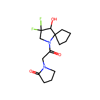 O=C1CCCN1CC(=O)N1CC(F)(F)C(O)C12CCCC2